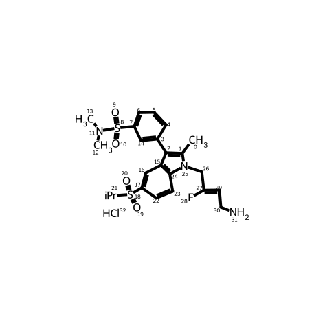 Cc1c(-c2cccc(S(=O)(=O)N(C)C)c2)c2cc(S(=O)(=O)C(C)C)ccc2n1CC(F)=CCN.Cl